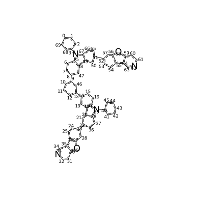 c1ccc(-n2c3ccc(-c4cccc(-c5ccc6c(c5)c5cc(-c7ccc8c(c7)oc7ccncc78)ccc5n6-c5ccccc5)c4)cc3c3cc(-c4ccc5c(c4)oc4ccncc45)ccc32)cc1